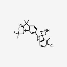 Cc1c(Cl)cccc1C1(Nc2ccc3c(c2)N(CC(F)(F)F)C(=O)C3(C)C)CNC1